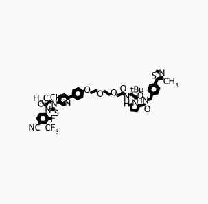 Cc1ncsc1-c1ccc(CNC(=O)C2CCCN2C(=O)C(NC(=O)COCCOCCOc2ccc(-c3ccc(N4C(=S)N(c5ccc(C#N)c(C(F)(F)F)c5F)C(=O)C4(C)C)cn3)cc2)C(C)(C)C)cc1